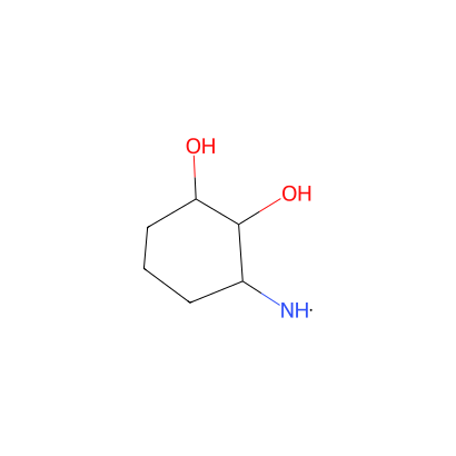 [NH]C1CCCC(O)C1O